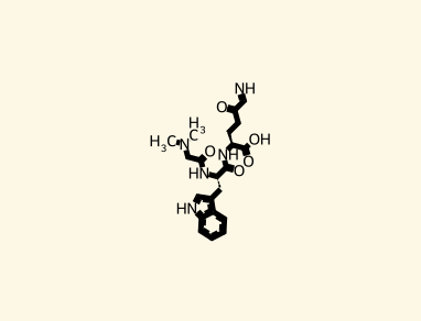 CN(C)CC(=O)N[C@@H](Cc1c[nH]c2ccccc12)C(=O)N[C@@H](CCC(=O)C=N)C(=O)O